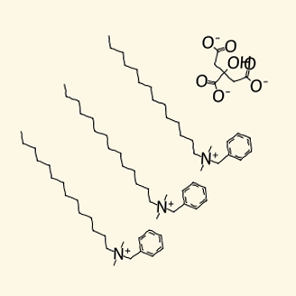 CCCCCCCCCCCCCC[N+](C)(C)Cc1ccccc1.CCCCCCCCCCCCCC[N+](C)(C)Cc1ccccc1.CCCCCCCCCCCCCC[N+](C)(C)Cc1ccccc1.O=C([O-])CC(O)(CC(=O)[O-])C(=O)[O-]